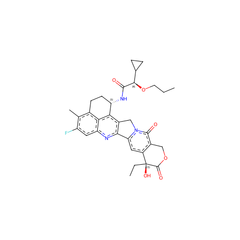 CCCO[C@@H](C(=O)N[C@H]1CCc2c(C)c(F)cc3nc4c(c1c23)Cn1c-4cc2c(c1=O)COC(=O)[C@]2(O)CC)C1CC1